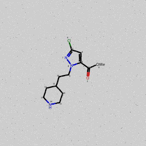 COC(=O)c1cc(Cl)nn1CCC1CCNCC1